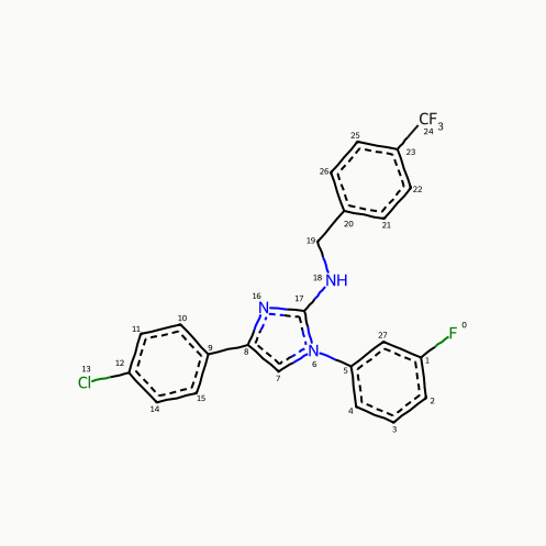 Fc1cccc(-n2cc(-c3ccc(Cl)cc3)nc2NCc2ccc(C(F)(F)F)cc2)c1